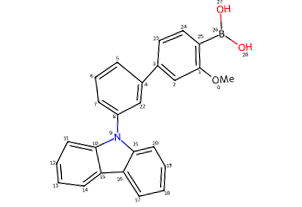 COc1cc(-c2cccc(-n3c4ccccc4c4ccccc43)c2)ccc1B(O)O